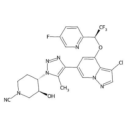 Cc1c(-c2cc(O[C@@H](c3ccc(F)cn3)C(F)(F)F)c3c(Cl)cnn3c2)nnn1[C@H]1CCN(C#N)C[C@@H]1O